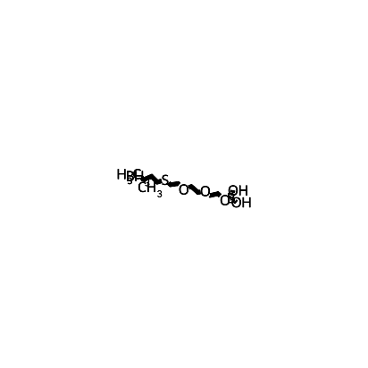 B.CC(C)CCSCCOCCOCCOB(O)O